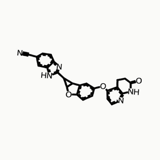 N#Cc1ccc2nc(C3C4Oc5ccc(Oc6ccnc7c6CCC(=O)N7)cc5C43)[nH]c2c1